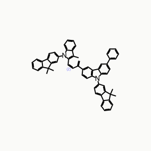 C=C(/C=C\c1c(C)c2ccccc2n1-c1ccc2c(c1)C(C)(C)c1ccccc1-2)c1ccc2c(c1)c1cc(-c3ccccc3)ccc1n2-c1ccc2c(c1)C(C)(C)c1ccccc1-2